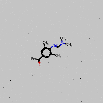 Cc1cc(C(=O)C(C)C)cc(C)c1/N=C/N(C)C